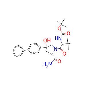 CC(C)(C)OC(=O)NC(C(=O)N1C[C@](O)(c2ccc(-c3ccccc3)cc2)C[C@H]1C(N)=O)C(C)(C)C